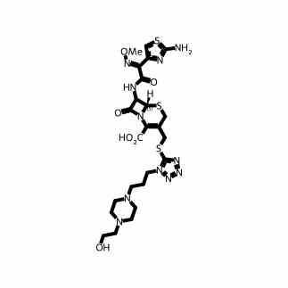 CON=C(C(=O)NC1C(=O)N2C(C(=O)O)=C(CSc3nnnn3CCCN3CCN(CCO)CC3)CS[C@@H]12)c1csc(N)n1